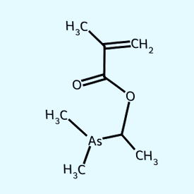 C=C(C)C(=O)OC(C)[As](C)C